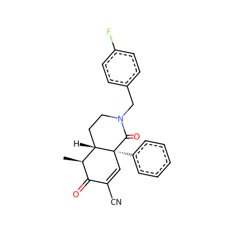 C[C@@H]1C(=O)C(C#N)=C[C@]2(c3ccccc3)C(=O)N(Cc3ccc(F)cc3)CC[C@@H]12